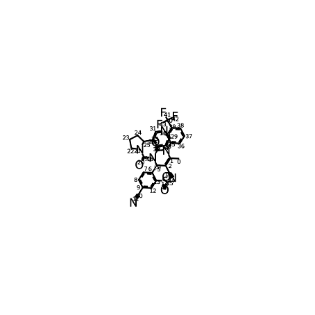 CC1=C(C#N)[C@@H](c2ccc(C#N)cc2S(C)(=O)=O)N(C(=O)N2CCCC2c2cccnc2)C(=O)N1c1cccc(C(F)(F)F)c1